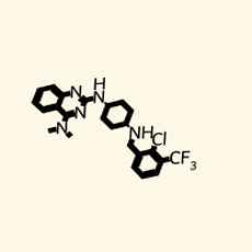 CN(C)c1nc(N[C@H]2CC[C@@H](NCc3cccc(C(F)(F)F)c3Cl)CC2)nc2ccccc12